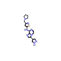 c1cn2c(-c3cn[nH]c3)cnc2c(Nc2cc(CN3CCCC3)ns2)n1